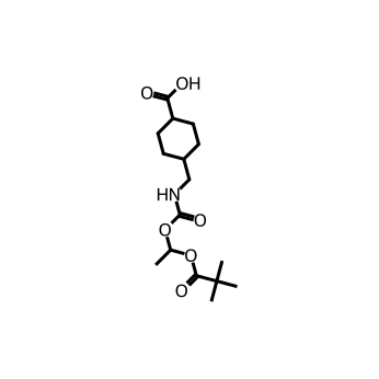 CC(OC(=O)NCC1CCC(C(=O)O)CC1)OC(=O)C(C)(C)C